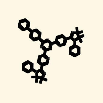 CC1(C)N=C(c2ccc(-c3nc(-c4ccc(-c5ccccc5)cc4)nc(-c4ccc(C5=NC(C)(C)C(C)(C)N5c5ccccc5)cn4)n3)nc2)N(c2ccccc2)C1(C)C